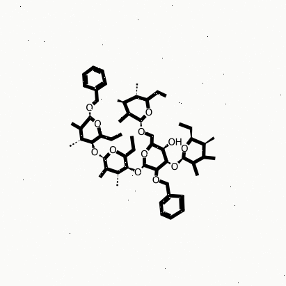 CCC1O[C@H](OCC2O[C@@H](O[C@@H]3C(CC)O[C@@H](O[C@@H]4C(CC)O[C@@H](OCc5ccccc5)C(C)[C@H]4C)C(C)[C@H]3C)C(OCc3ccccc3)[C@@H](O[C@H]3O[C@@H](CC)[C@@H](C)C(C)C3C)[C@@H]2O)C(C)[C@@H](C)[C@@H]1C